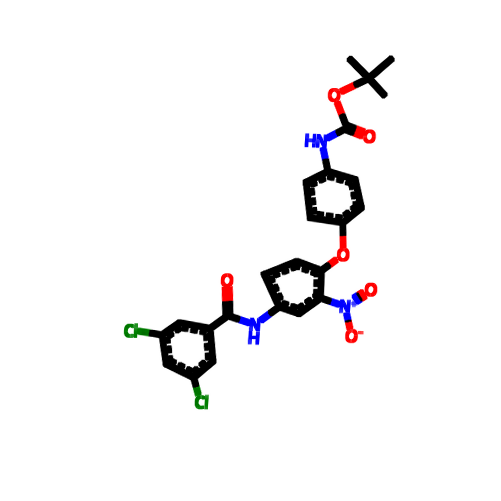 CC(C)(C)OC(=O)Nc1ccc(Oc2ccc(NC(=O)c3cc(Cl)cc(Cl)c3)cc2[N+](=O)[O-])cc1